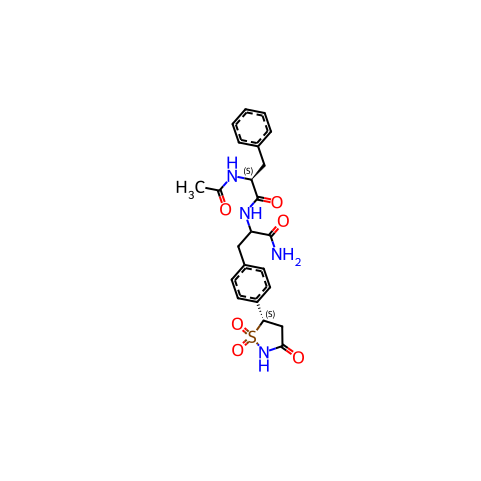 CC(=O)N[C@@H](Cc1ccccc1)C(=O)NC(Cc1ccc([C@@H]2CC(=O)NS2(=O)=O)cc1)C(N)=O